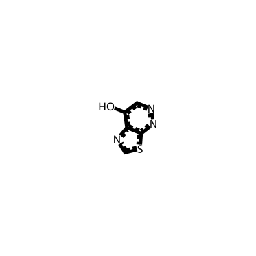 Oc1cnnc2scnc12